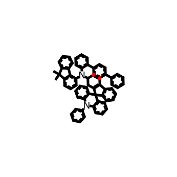 CC1(C)c2ccccc2-c2c(N(c3ccccc3-c3ccc(-c4ccccc4)cc3)C3C=CC4=C(C3)C3(c5ccccc54)c4ccccc4N(c4ccccc4)c4ccccc43)cccc21